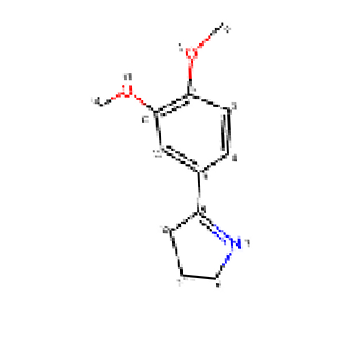 COc1ccc(C2=NCCC2)cc1OC